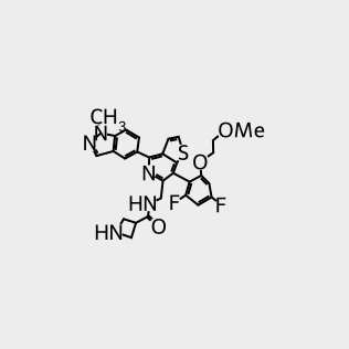 COCCOc1cc(F)cc(F)c1-c1c(CNC(=O)C2CNC2)nc(-c2ccc3c(cnn3C)c2)c2ccsc12